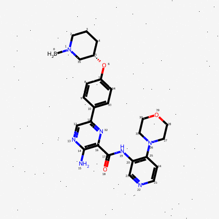 BN1CCC[C@H](Oc2ccc(-c3cnc(N)c(C(=O)Nc4cnccc4N4CCOCC4)n3)cc2)C1